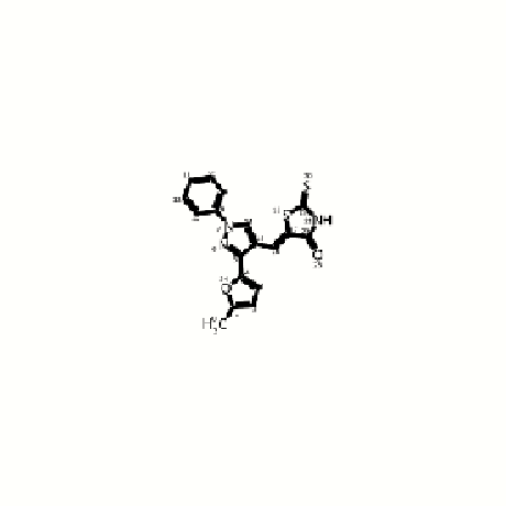 Cc1ccc(-c2nn(-c3ccccc3)cc2/C=C2\SC(=S)NC2=O)o1